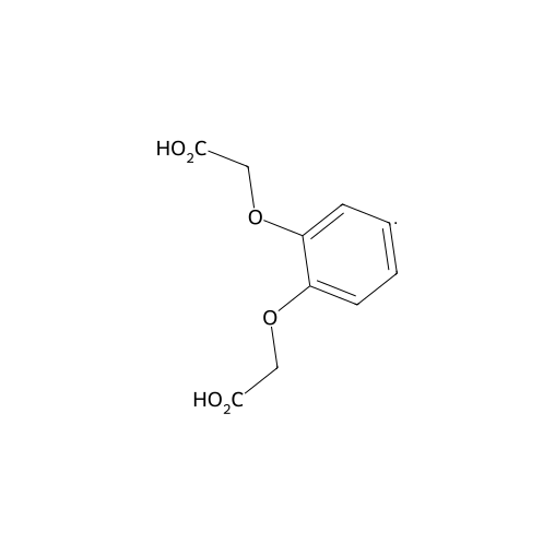 O=C(O)COc1c[c]ccc1OCC(=O)O